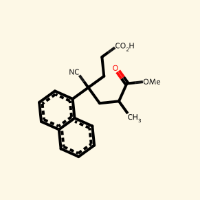 COC(=O)C(C)CC(C#N)(CCC(=O)O)c1cccc2ccccc12